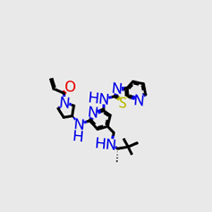 C=CC(=O)N1CC[C@H](Nc2cc(CN[C@@H](C)C(C)(C)C)cc(Nc3nc4cccnc4s3)n2)C1